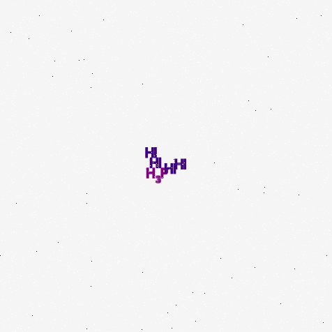 I.I.I.I.P